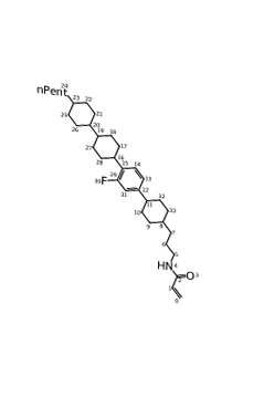 C=CC(=O)NCCCC1CCC(c2ccc(C3CCC(C4CCC(CCCCC)CC4)CC3)c(F)c2)CC1